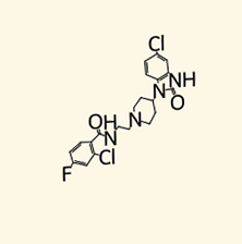 O=C(NCCN1CCC(n2c(=O)[nH]c3cc(Cl)ccc32)CC1)c1ccc(F)cc1Cl